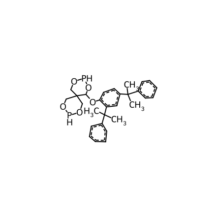 CC(C)(c1ccccc1)c1ccc(OC2OPOCC23COPOC3)c(C(C)(C)c2ccccc2)c1